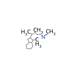 C/C=N\CCC(C)C(C)C1CC2CCCCC2C1C